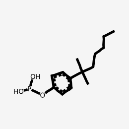 CCCCCC(C)(C)c1ccc(OP(O)O)cc1